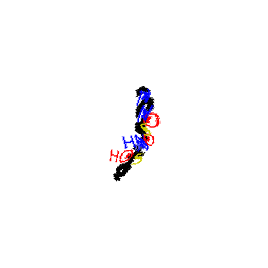 C/C(=N\NC(=O)c1ccc(C(=O)N2CCC(N3CCCC3)CC2)s1)C1CSC(c2ccc(C(C)(C)C)cc2)=C1O